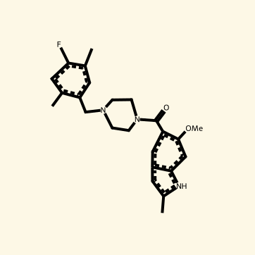 COc1cc2[nH]c(C)cc2cc1C(=O)N1CCN(Cc2cc(C)c(F)cc2C)CC1